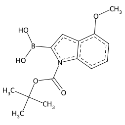 COc1cccc2c1cc(B(O)O)n2C(=O)OC(C)(C)C